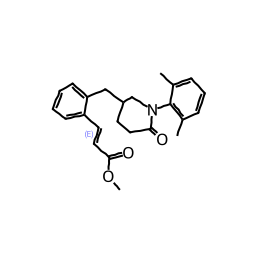 COC(=O)/C=C/c1ccccc1CC1CCC(=O)N(c2c(C)cccc2C)C1